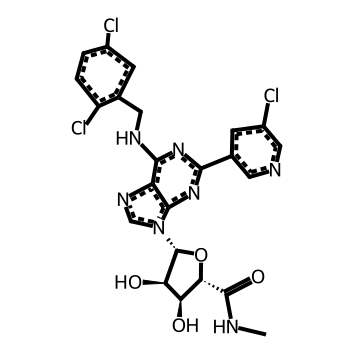 CNC(=O)[C@H]1O[C@@H](n2cnc3c(NCc4cc(Cl)ccc4Cl)nc(-c4cncc(Cl)c4)nc32)[C@H](O)[C@@H]1O